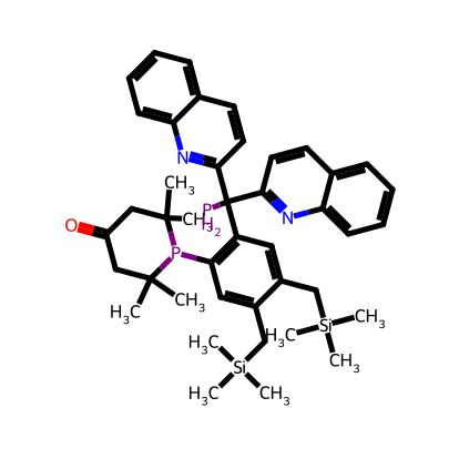 CC1(C)CC(=O)CC(C)(C)P1c1cc(C[Si](C)(C)C)c(C[Si](C)(C)C)cc1C(P)(c1ccc2ccccc2n1)c1ccc2ccccc2n1